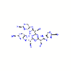 N#Cc1ncc2[nH]c(C(C#N)c3nc(C(C#N)c4nc5nc(C#N)ncc5[nH]4)nc(C(C#N)c4nc5cnc(C#N)nc5[nH]4)n3)nc2n1